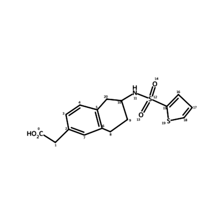 O=C(O)Cc1ccc2c(c1)CCC(NS(=O)(=O)c1cccs1)C2